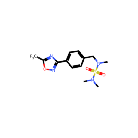 CN(C)S(=O)(=O)N(C)Cc1ccc(-c2noc(C(F)(F)F)n2)cc1